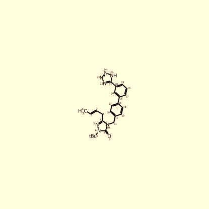 C/C=C/Cc1nn(C(C)(C)C)c(=O)n1Cc1ccc(-c2cccc(-c3nnn[nH]3)c2)cc1